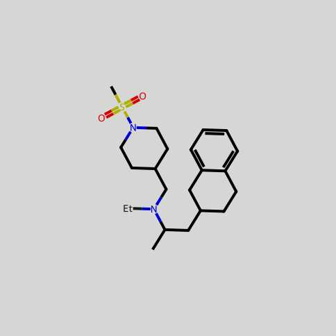 CCN(CC1CCN(S(C)(=O)=O)CC1)C(C)CC1CCc2ccccc2C1